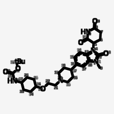 Cn1c(=O)n(C2CCC(=O)NC2=O)c2ccc(C3CCN(CCOC4CCC(NC(=O)OC(C)(C)C)CC4)CC3)cc21